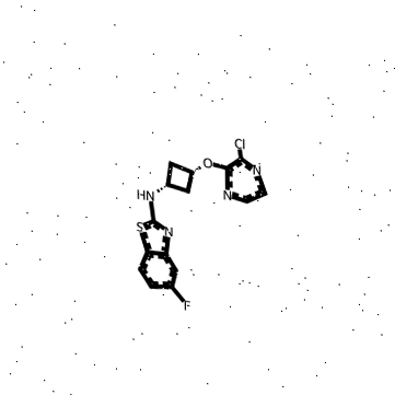 Fc1ccc2sc(N[C@H]3C[C@@H](Oc4nccnc4Cl)C3)nc2c1